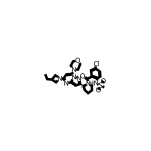 CCC1CN(c2cc(N3CCOCC3)n3nc([C@@H]4CCCCN4C(=O)c4cc(Cl)ccc4NS(C)(=O)=O)cc3n2)C1